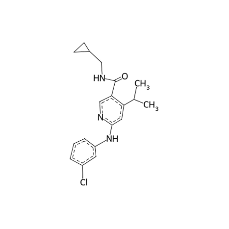 CC(C)c1cc(Nc2cccc(Cl)c2)ncc1C(=O)NCC1CC1